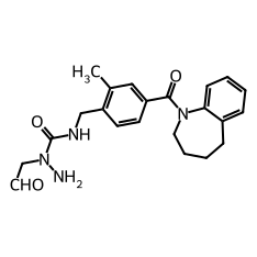 Cc1cc(C(=O)N2CCCCc3ccccc32)ccc1CNC(=O)N(N)CC=O